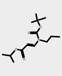 CCCN(/C=C/C(=O)OC(C)C)C(=O)OC(C)(C)C